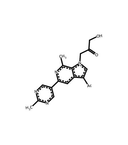 CC(=O)c1cn(CC(=O)CO)c2c(C)nc(-c3cnc(C)nc3)cc12